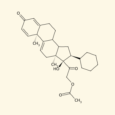 CC(=O)OCC(=O)[C@@]1(O)[C@H](C2CCCCC2)CC2C3CCC4=CC(=O)C=C[C@]4(C)C3=CC[C@@]21C